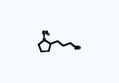 CN1CCCC1CCC[NH]